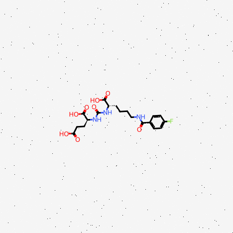 O=C(O)CC[C@H](NC(=O)N[C@@H](CCCCNC(=O)c1ccc(F)cc1)C(=O)O)C(=O)O